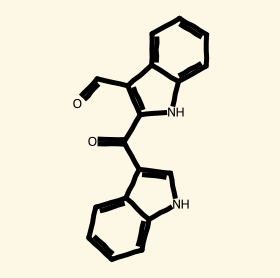 O=Cc1c(C(=O)c2c[nH]c3ccccc23)[nH]c2ccccc12